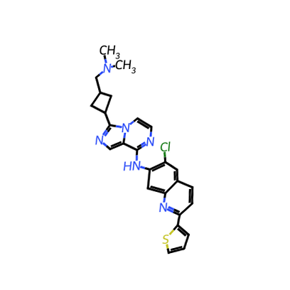 CN(C)CC1CC(c2ncc3c(Nc4cc5nc(-c6cccs6)ccc5cc4Cl)nccn23)C1